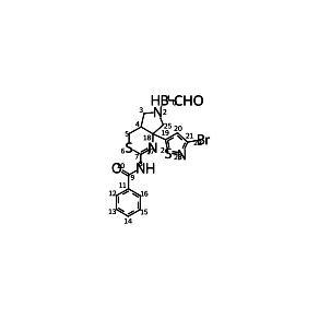 O=CBN1CC2CSC(NC(=O)c3ccccc3)=NC2(c2cc(Br)ns2)C1